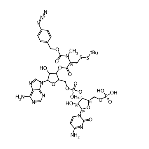 CN(C(=O)OCc1ccc(N=[N+]=[N-])cc1)[C@@H](CSSC(C)(C)C)C(=O)OC1C(COP(=O)(O)O[C@H]2[C@@H](O)[C@H](n3ccc(N)nc3=O)O[C@@H]2COP(=O)(O)O)OC(n2cnc3c(N)ncnc32)C1O